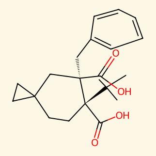 CC(C)(C)[C@@]1(C(=O)O)CCC2(CC2)C[C@@]1(Cc1ccccc1)C(=O)O